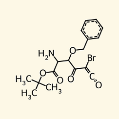 CC(C)(C)OC(=O)C(N)C(OCc1ccccc1)C(=O)C(Br)=C=O